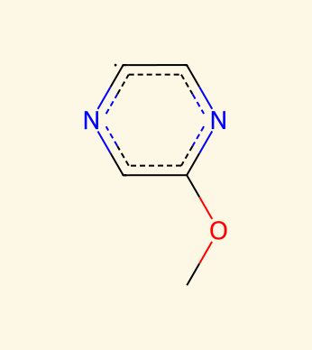 COc1cn[c]cn1